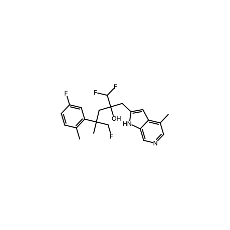 Cc1ccc(F)cc1C(C)(CF)CC(O)(Cc1cc2c(C)cncc2[nH]1)C(F)F